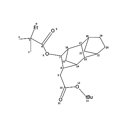 CCC(C)(C)C(=O)OC1C(CC(=O)OC(C)(C)C)C2CC1C1C3CCC(C3)C21